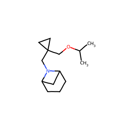 CC(C)OCC1(CN2C3CCCC2C3)CC1